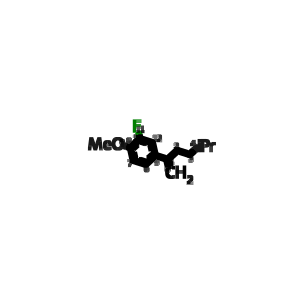 C=C(CCC(C)C)c1ccc(OC)c(F)c1